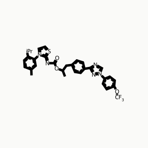 Cc1ccc(C(C)C)c(-n2ccs/c2=N\C(=O)OC(C)Cc2ccc(-c3ncn(-c4ccc(OC(F)(F)F)cc4)n3)cc2)c1